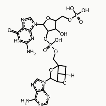 Nc1nc2c(ncn2C2OC(COP(=O)(O)O)C(O)C2OP(=O)(O)OCC23C[C@H]4OC(C(n5cnc6c(N)ncnc65)O2)C43)c(=O)[nH]1